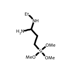 CCNC(N)CC[Si](OC)(OC)OC